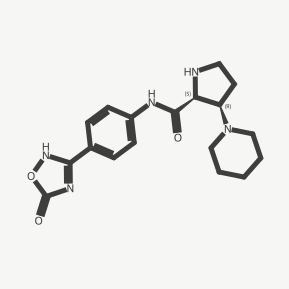 O=C(Nc1ccc(-c2nc(=O)o[nH]2)cc1)[C@H]1NCC[C@H]1N1CCCCC1